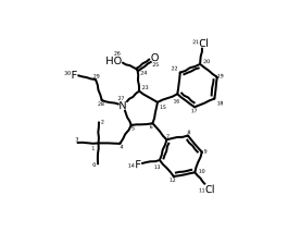 CC(C)(C)CC1C(c2ccc(Cl)cc2F)C(c2cccc(Cl)c2)C(C(=O)O)N1CCF